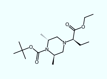 CCOC(=O)[C@@H](CC)N1C[C@@H](C)N(C(=O)OC(C)(C)C)[C@H](C)C1